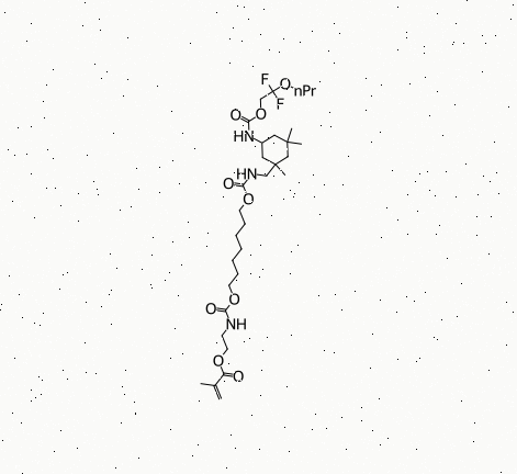 C=C(C)C(=O)OCCNC(=O)OCCCCCCCOC(=O)NCC1(C)CC(NC(=O)OCC(F)(F)OCCC)CC(C)(C)C1